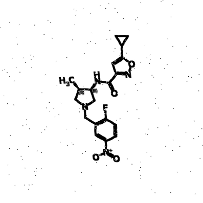 C[C@@H]1CN(Cc2cc([N+](=O)[O-])ccc2F)C[C@@H]1NC(=O)c1cc(C2CC2)on1